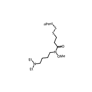 CCCCCSSCCC(=O)N(CCCCN(CC)CC)OC